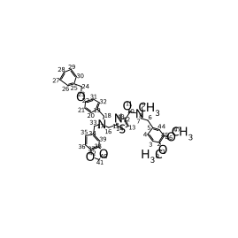 COc1ccc(CCN(C)C(=O)c2csc(CN(Cc3ccc(OCc4ccccc4)cc3)Cc3ccc4c(c3)OCO4)n2)cc1OC